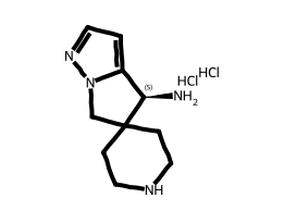 Cl.Cl.N[C@@H]1c2ccnn2CC12CCNCC2